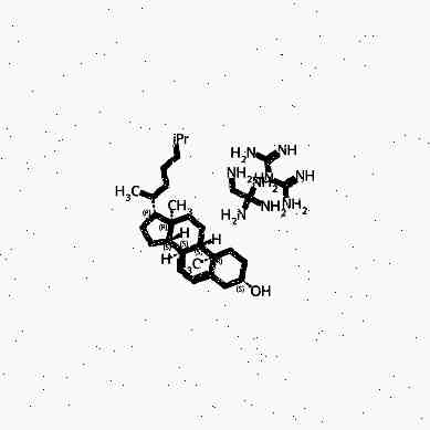 CC(C)CCCC(C)[C@H]1CC[C@H]2[C@@H]3CC=C4C[C@@H](O)CC[C@]4(C)[C@H]3CC[C@]12C.N=C(N)NC(=N)N.NCC(N)(N)N